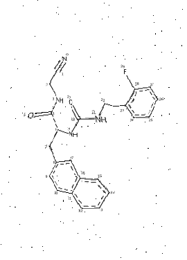 N#CCNC(=O)C(Cc1ccc2ccccc2c1)NC(=O)NCc1ccccc1F